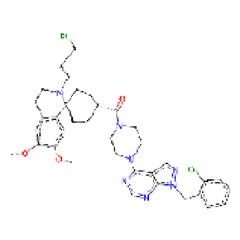 COc1cc2c(cc1OC)[C@]1(CC[C@@H](C(=O)N3CCN(c4ncnc5c4cnn5Cc4ccccc4Cl)CC3)CC1)N(CCCBr)CC2